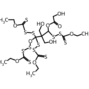 CCOC(=S)SSOC(SSC(=S)OCC)(SSC(=S)OCC)C(CO)(CO)C(OC(=O)CO)SSC(=S)OCC